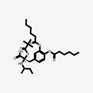 CCCCCC(=O)Oc1ccc(C[C@](NC(C)CC)(OC(=O)C(C)(C)C)C(=O)O)cc1OC(=O)CCCCC